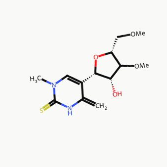 C=C1NC(=S)N(C)C=C1[C@@H]1O[C@H](COC)C(OC)[C@@H]1O